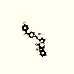 Cl.O=C(c1ccc(F)cc1)C1CCN(CC[C@@H]2CCCN2C(=O)c2[nH]c3ccccc3c2F)CC1